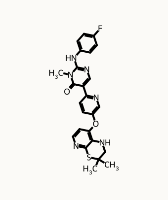 Cn1c(Nc2ccc(F)cc2)ncc(-c2ccc(Oc3ccnc4c3NCC(C)(C)S4)cn2)c1=O